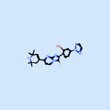 CC1(C)C=C(c2ccn3c(F)c(-c4ccc(-n5nccn5)cc4O)nc3n2)CC(C)(C)N1